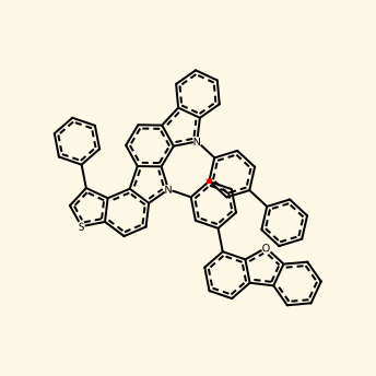 c1ccc(-c2ccc(-n3c4ccccc4c4ccc5c6c7c(-c8ccccc8)csc7ccc6n(-c6cccc(-c7cccc8c7oc7ccccc78)c6)c5c43)cc2)cc1